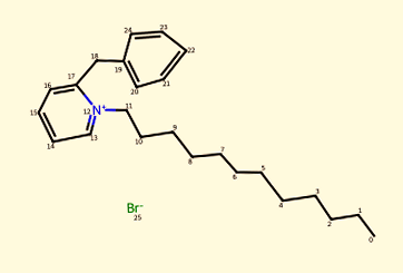 CCCCCCCCCCCC[n+]1ccccc1Cc1ccccc1.[Br-]